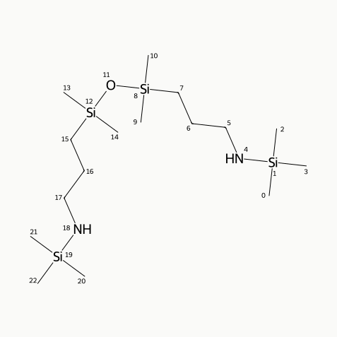 C[Si](C)(C)NCCC[Si](C)(C)O[Si](C)(C)CCCN[Si](C)(C)C